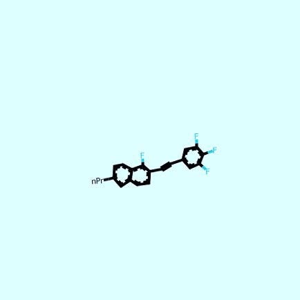 CCCc1ccc2c(F)c(C#Cc3cc(F)c(F)c(F)c3)ccc2c1